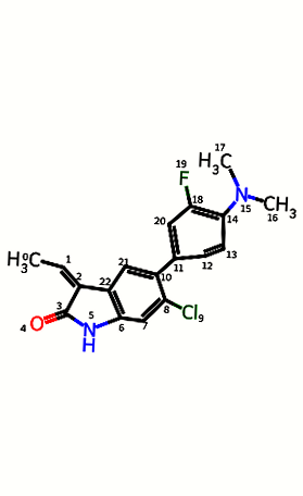 C/C=C1\C(=O)Nc2cc(Cl)c(-c3ccc(N(C)C)c(F)c3)cc21